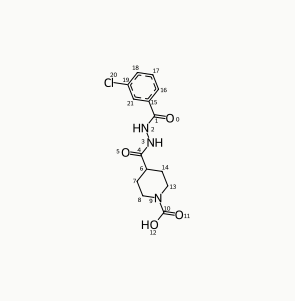 O=C(NNC(=O)C1CCN(C(=O)O)CC1)c1cccc(Cl)c1